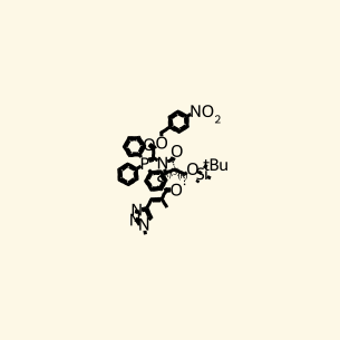 CC(=Cc1cn(C)nn1)C(=O)S[C@@H]1[C@@H]([C@@H](C)O[Si](C)(C)C(C)(C)C)C(=O)N1C(C(=O)OCc1ccc([N+](=O)[O-])cc1)=P(c1ccccc1)(c1ccccc1)c1ccccc1